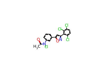 CC(=O)N(Cl)c1cccc(-c2cc(-c3c(Cl)ccc(Cl)c3Cl)no2)c1